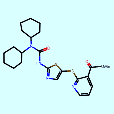 COC(=O)c1cccnc1Sc1cnc(NC(=O)N(C2CCCCC2)C2CCCCC2)s1